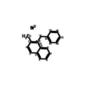 Cc1ccc2ccccc2[n+]1Cc1ccccc1.[Br-]